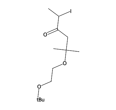 CC(I)C(=O)CC(C)(C)OCCOC(C)(C)C